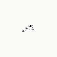 [NH2-].[NH2-].[NH2-].[Yb+3]